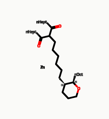 CCCCCCCC[C@H]1OCCC[C@@H]1CCCCCCC(C(=O)CCCCCCC)C(=O)CCCCCCC.[Zn]